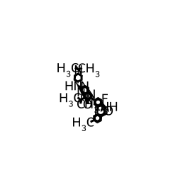 Cc1ccc(CS(=O)(=O)Nc2c(F)cc(-c3nc4cnc(N[C@H]5CC[C@H](N(C)C)CC5)nc4n(C(C)C)c3=O)cc2F)cc1